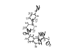 COCc1nnc(-c2cc(C(=O)N3CCC(c4ccc(C#N)cc4)CC3)ccc2C(C)C)[nH]1